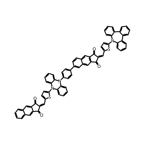 O=C1C(=Cc2ccc(N3c4ccccc4N(c4ccc(-c5ccc6cc7c(cc6c5)C(=O)/C(=C/c5ccc(N6c8ccccc8-c8ccccc8-c8ccccc86)s5)C7=O)cc4)c4ccccc43)s2)C(=O)c2cc3ccccc3cc21